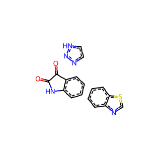 O=C1Nc2ccccc2C1=O.c1c[nH]nn1.c1ccc2scnc2c1